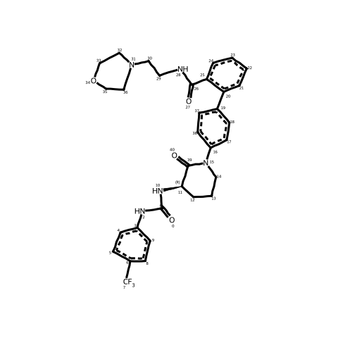 O=C(Nc1ccc(C(F)(F)F)cc1)N[C@@H]1CCCN(c2ccc(-c3ccccc3C(=O)NCCN3CCOCC3)cc2)C1=O